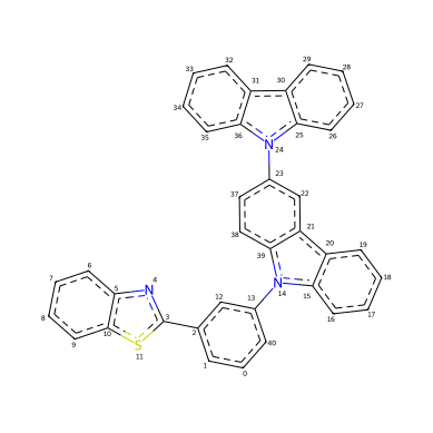 c1cc(-c2nc3ccccc3s2)cc(-n2c3ccccc3c3cc(-n4c5ccccc5c5ccccc54)ccc32)c1